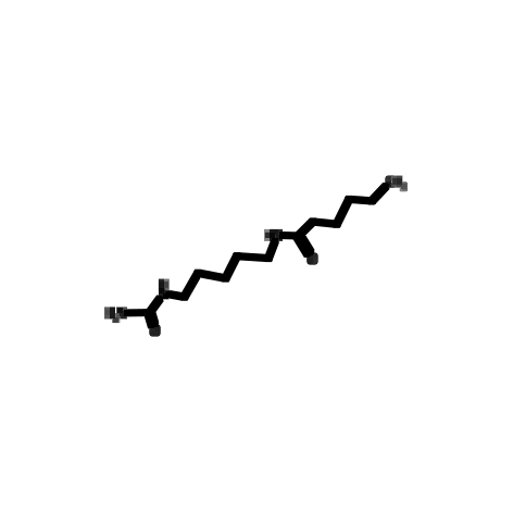 CCCCCC(=O)NCCCCCNC(N)=O